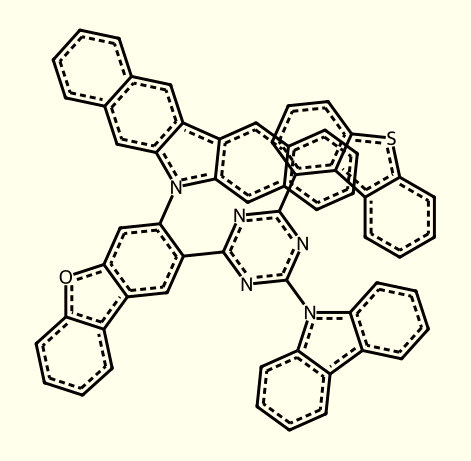 c1ccc2cc3c(cc2c1)c1cc2ccccc2cc1n3-c1cc2oc3ccccc3c2cc1-c1nc(-c2cccc3sc4ccccc4c23)nc(-n2c3ccccc3c3ccccc32)n1